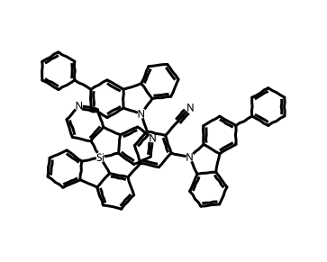 N#Cc1c(-n2c3ccccc3c3cc(-c4ccccc4)ccc32)cc(-c2cccc3c2[Si]2(c4ccncc4-c4cnccc42)c2ccccc2-3)cc1-n1c2ccccc2c2cc(-c3ccccc3)ccc21